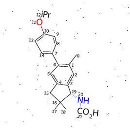 Cc1cc2c(cc1-c1ccc(OC(C)C)cc1)CC(C)(C)[C@H]2NC(=O)O